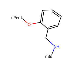 CCCCCOc1ccccc1CNCCCC